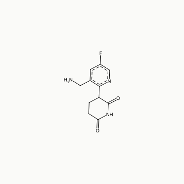 NCc1cc(F)cnc1C1CCC(=O)NC1=O